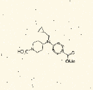 COC(=O)c1ccc(N(CC2CC2)C2CCN(C(=O)O)CC2)cc1